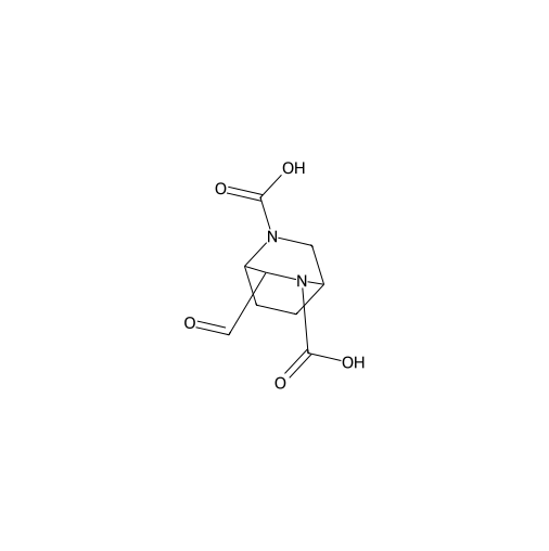 O=CC1C2CCC(CN2C(=O)O)N1C(=O)O